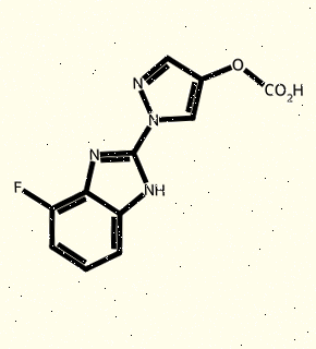 O=C(O)Oc1cnn(-c2nc3c(F)cccc3[nH]2)c1